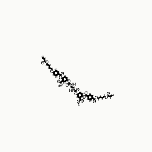 C=CC(=O)OCCCCOC(=O)c1ccc(C(=O)Oc2ccc(OC(=O)NCCNC(=O)Oc3ccc(OC(=O)c4ccc(OCCCCOC(=O)C=C)cc4)c(C(=O)OC)c3)cc2C(=O)OC)cc1